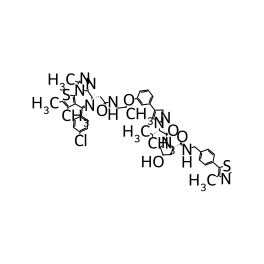 Cc1ncsc1-c1ccc(CNC(=O)[C@@H]2C[C@@H](O)CN2C(=O)[C@H](C(C)C)n2cc(-c3cccc(O[C@H](C)CNC(=O)C[C@@H]4N=C(c5ccc(Cl)cc5)c5c(sc(C)c5C)-n5c(C)nnc54)c3)cn2)cc1